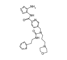 Nc1cscc1NC(=O)c1ccc(CN(CCCN2CCOCC2)C(=O)NCCc2ccccc2)cn1